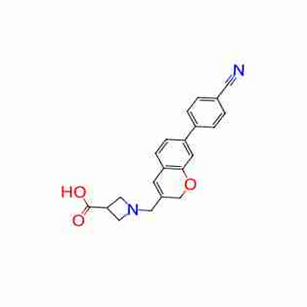 N#Cc1ccc(-c2ccc3c(c2)OCC(CN2CC(C(=O)O)C2)=C3)cc1